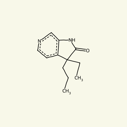 CCCC1(CC)C(=O)Nc2cnccc21